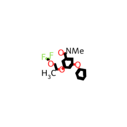 CNC(=O)c1cc(Oc2ccccc2)cc(O[C@@H](C)COC(F)F)c1